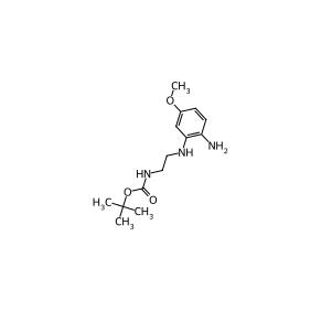 COc1ccc(N)c(NCCNC(=O)OC(C)(C)C)c1